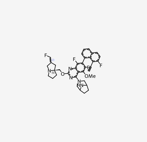 C#Cc1c(F)ccc2cccc(-c3c(F)c(OC)c4c(N5CC6CCC(C5)N6)nc(OC[C@@]56CCCN5C/C(=C\F)C6)nc4c3F)c12